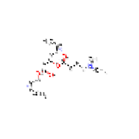 C/C=C\COC(=O)CC(C/C=C\C)OC(=O)CCCN(C)C